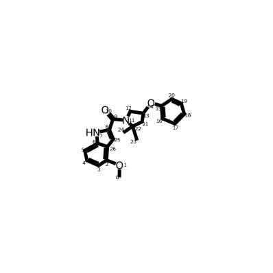 COc1cccc2[nH]c(C(=O)N3CC(Oc4ccccc4)CC3(C)C)cc12